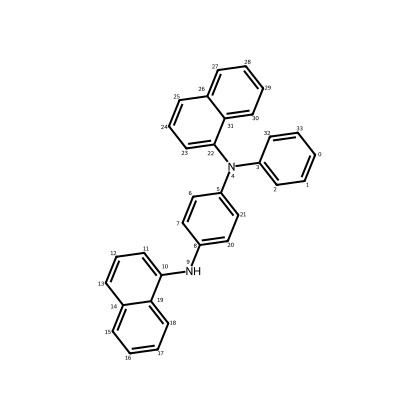 c1ccc(N(c2ccc(Nc3cccc4ccccc34)cc2)c2cccc3ccccc23)cc1